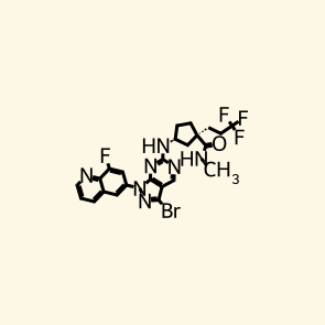 CNC(=O)[C@]1(CCC(F)(F)F)CC[C@@H](Nc2ncc3c(Br)nn(-c4cc(F)c5ncccc5c4)c3n2)C1